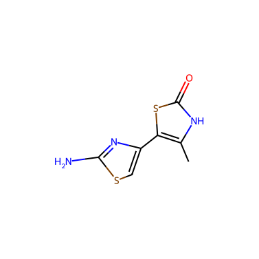 Cc1[nH]c(=O)sc1-c1csc(N)n1